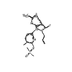 C=CCn1c(=O)c2cnc(SC)nc2n1-c1ccc(C)c(N=S(C)(C)=O)n1